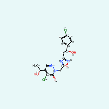 C[C@H](O)c1cnn(Cc2nc(C[C@H](O)c3ccc(Cl)cc3)no2)c(=O)c1Cl